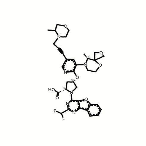 CC1COCCN1CC#Cc1cnc(O[C@H]2C[C@@H](C(=O)O)N(c3nc(C(F)F)nc4c3oc3ccccc34)C2)c(N2CCOC3(COC3)[C@@H]2C)c1